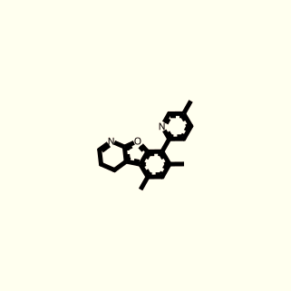 Cc1ccc(-c2c(C)cc(C)c3c4c(oc23)N=CCC4)nc1